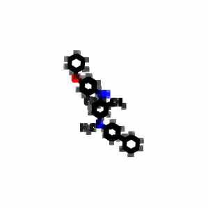 Cc1cc(N(C)c2ccc(C3CCCCC3)cc2)ccc1Nc1ccc(OC2CCCCC2)cc1C(=O)O